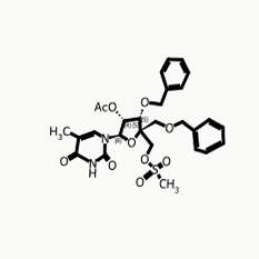 CC(=O)O[C@H]1[C@H](n2cc(C)c(=O)[nH]c2=O)O[C@@](COCc2ccccc2)(COS(C)(=O)=O)[C@H]1OCc1ccccc1